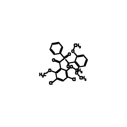 COc1cccc(OC)c1C(=O)P(=O)(C(=O)c1c(OC)c(Cl)cc(Cl)c1OC)c1ccccc1